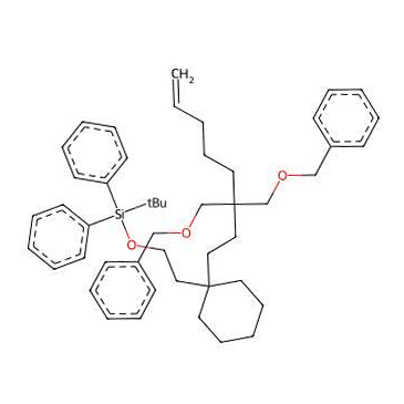 C=CCCCC(CCC1(CCO[Si](c2ccccc2)(c2ccccc2)C(C)(C)C)CCCCC1)(COCc1ccccc1)COCc1ccccc1